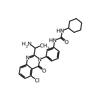 CC(N)c1nc2cccc(Cl)c2c(=O)n1-c1cccc(NC(=O)NC2CCCCC2)c1